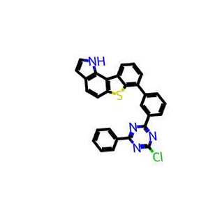 Clc1nc(-c2ccccc2)nc(-c2cccc(-c3cccc4c3sc3ccc5cc[nH]c5c34)c2)n1